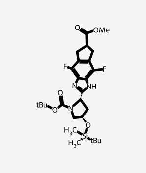 COC(=O)C1Cc2c(c(F)c3[nH]c([C@@H]4C[C@@H](O[Si](C)(C)C(C)(C)C)CN4C(=O)OC(C)(C)C)nc3c2F)C1